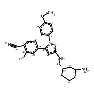 COc1ccc(-n2nc(NC[C@H]3CCC[C@H](N)C3)cc2-c2ccc(C#N)c(F)c2)cc1